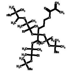 C=C(C)C(=O)OCCC[Si](OC(C)(CC)[Si](C)(C)OC(C)[Si](C)(C)CCCC)(O[Si](C)(C)O[Si](C)(C)CCCC)C(C)O[Si](C)(C)C(C)(CC)O[Si](C)(C)CCCC